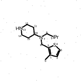 Cc1ccsc1CN(CC(C)C)C1CCNCC1